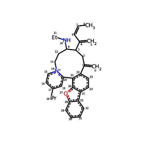 C=C1CC(C(=C)/C=C\C)C(NCC)CC[n+]2ccc(C(C)C)cc2-c2c1ccc1c2oc2ccccc21